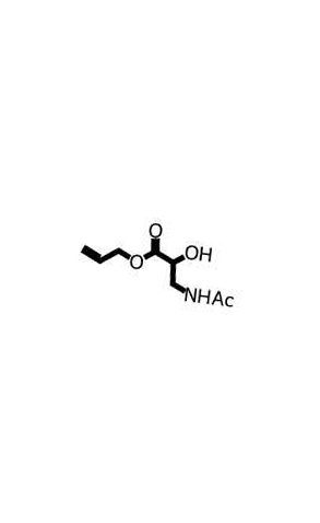 C=CCOC(=O)C(O)CNC(C)=O